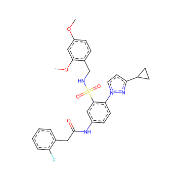 COc1ccc(CNS(=O)(=O)c2cc(NC(=O)Cc3ccccc3F)ccc2-n2ccc(C3CC3)n2)c(OC)c1